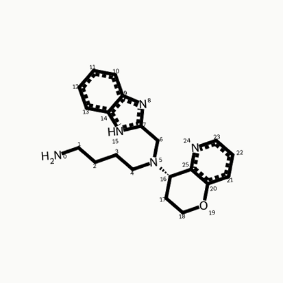 NCCCCN(Cc1nc2ccccc2[nH]1)[C@H]1CCOc2cccnc21